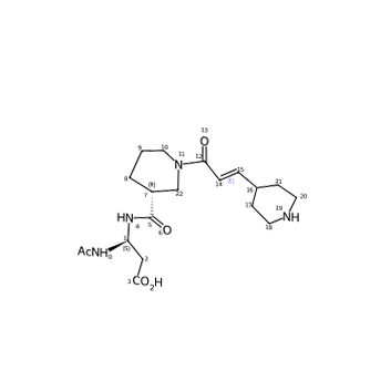 CC(=O)N[C@H](CC(=O)O)NC(=O)[C@@H]1CCCN(C(=O)/C=C/C2CCNCC2)C1